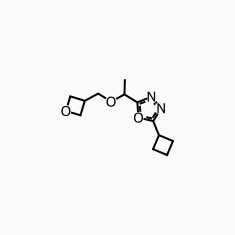 CC(OCC1COC1)c1nnc(C2CCC2)o1